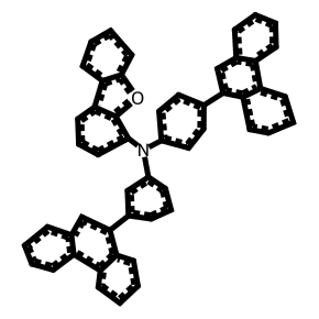 c1cc(-c2cc3ccccc3c3ccccc23)cc(N(c2ccc(-c3cc4ccccc4c4ccccc34)cc2)c2cccc3c2oc2ccccc23)c1